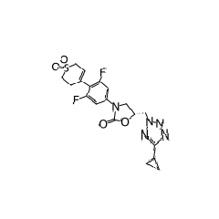 O=C1O[C@@H](Cn2nnc(C3CC3)n2)CN1c1cc(F)c(C2=CCS(=O)(=O)CC2)c(F)c1